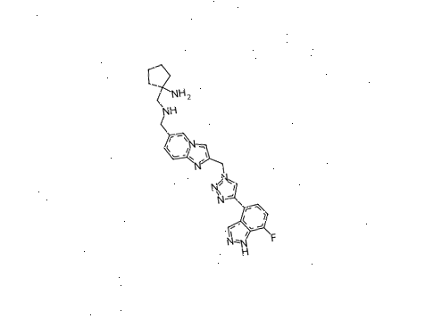 NC1(CNCc2ccc3nc(Cn4cc(-c5ccc(F)c6[nH]ncc56)nn4)cn3c2)CCCC1